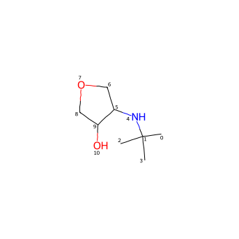 CC(C)(C)NC1COCC1O